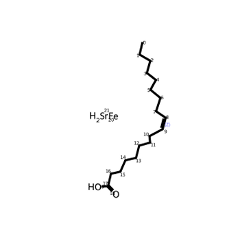 CCCCCCCC/C=C\CCCCCCCC(=O)O.[Fe].[SrH2]